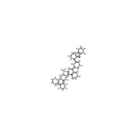 CC1(C)c2cc3c4ccccc4c4ccccc4c3cc2-c2c1cc(-c1cccc(-c3cccc4c3sc3ccccc34)c1)c1ccccc21